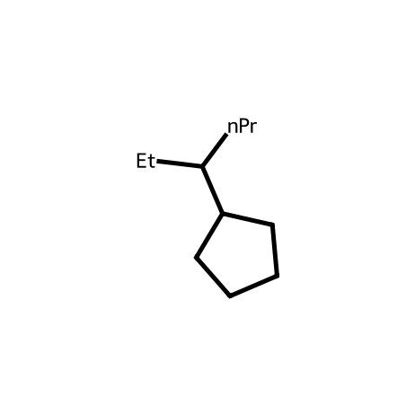 [CH2]CCC(C[CH2])C1CCCC1